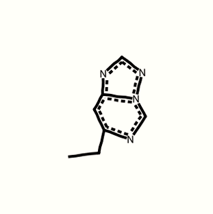 CCc1cc2ncnn2cn1